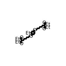 CCC(=O)C(CCCCCCOc1ccc(OCCCCCCC(C(=O)CC)C(=O)CC)c(CC)c1)C(=O)CC